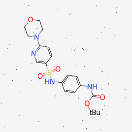 CC(C)(C)OC(=O)Nc1ccc(NS(=O)(=O)c2ccc(N3CCOCC3)nc2)cc1